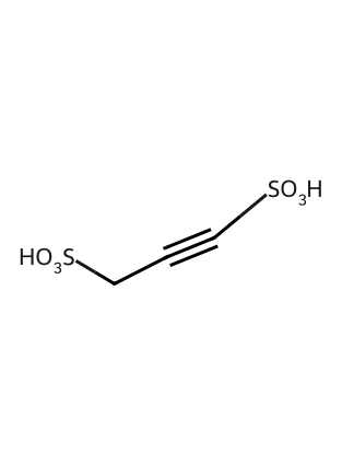 O=S(=O)(O)C#CCS(=O)(=O)O